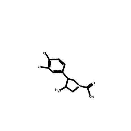 NC1CN(C(=O)O)CC1c1ccc(Cl)c(Cl)c1